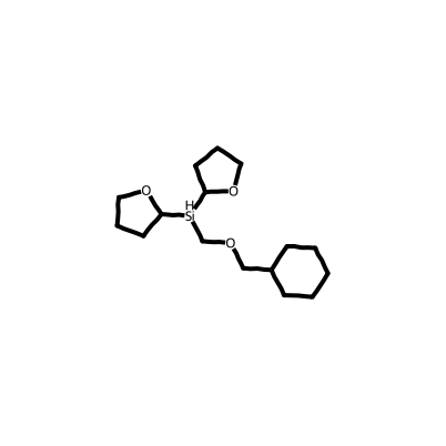 C1CCC(COC[SiH](C2CCCO2)C2CCCO2)CC1